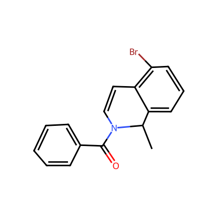 CC1c2cccc(Br)c2C=CN1C(=O)c1ccccc1